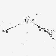 CSCC(CSC)=NOCC(=O)NCCNC(=O)COCCOCCNC(O)CC[C@H](NC(=O)CCCCCCCCCCCCCCCCC(=O)O)C(=O)O